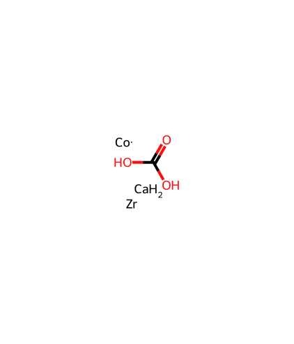 O=C(O)O.[CaH2].[Co].[Zr]